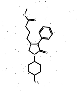 COC(=O)CCCC1CN(C2CCC(N)CC2)C(=O)N1c1ccccc1